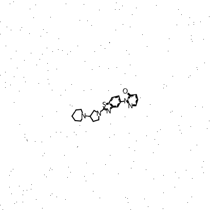 O=c1cccnn1-c1ccc2sc(N3CCC(N4CCCCC4)C3)nc2c1